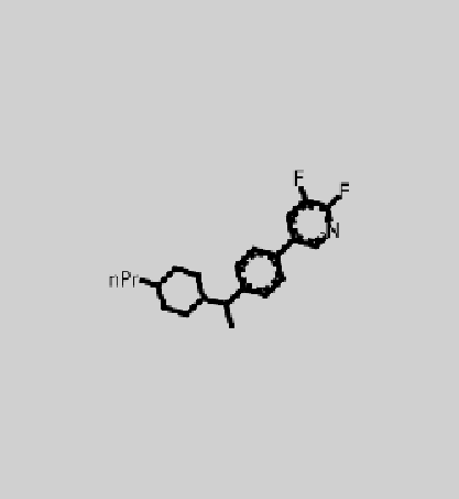 CCCC1CCC(C(C)c2ccc(-c3cnc(F)c(F)c3)cc2)CC1